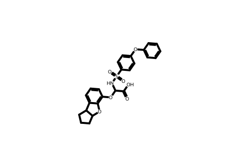 O=C(O)C(NS(=O)(=O)c1ccc(Oc2ccccc2)cc1)Oc1cccc2c1OC1CCCC21